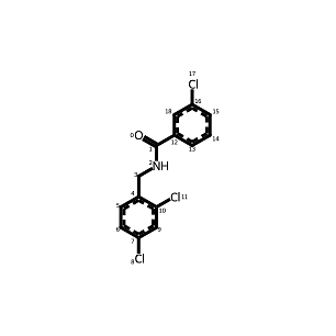 O=C(NCc1ccc(Cl)cc1Cl)c1cccc(Cl)c1